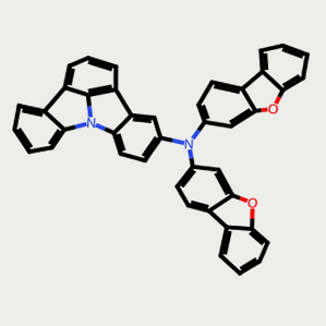 c1ccc2c(c1)oc1cc(N(c3ccc4c(c3)oc3ccccc34)c3ccc4c(c3)c3cccc5c6ccccc6n4c53)ccc12